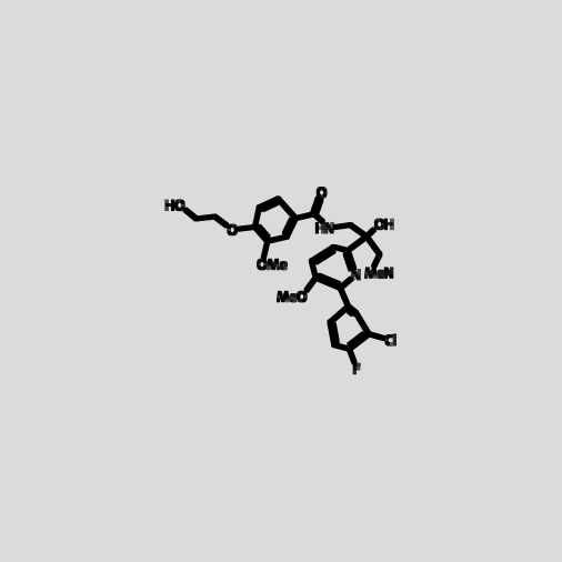 CNCC(O)(CNC(=O)c1ccc(OCCO)c(OC)c1)c1ccc(OC)c(-c2ccc(F)c(Cl)c2)n1